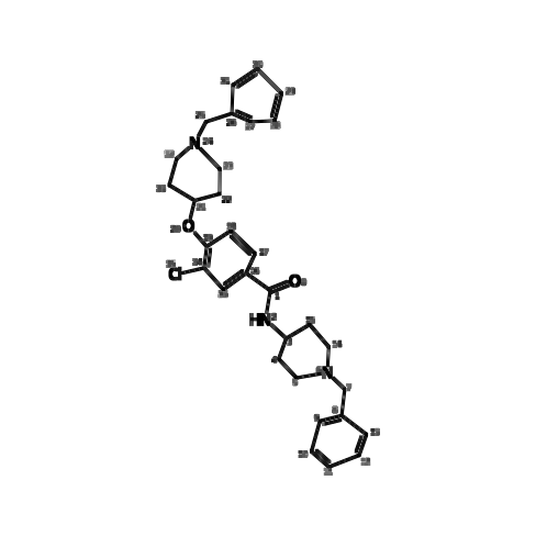 O=C(NC1CCN(Cc2ccccc2)CC1)c1ccc(OC2CCN(Cc3ccccc3)CC2)c(Cl)c1